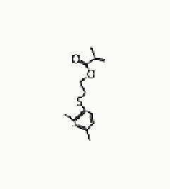 C=C(C)C(=O)OCCSc1[c]cc(C)[c]c1C